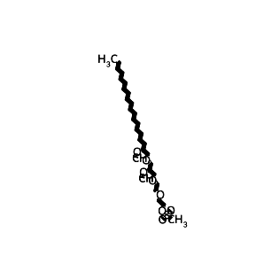 CCCCCCCCCCCCCCCCCCC(COCC(COCCOCCOS(C)(=O)=O)OC)OC